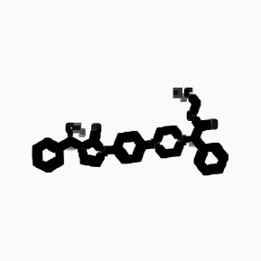 CCOC(=O)[C@@H](c1ccccc1)N1CCN(c2ccc(-n3ccn([C@@H](C)c4ccccc4)c3=O)cc2)CC1